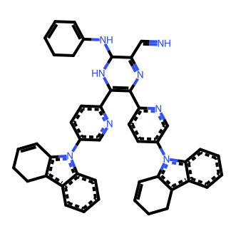 N=CC1=NC(c2ccc(-n3c4c(c5ccccc53)CCC=C4)cn2)=C(c2ccc(-n3c4c(c5ccccc53)CCC=C4)cn2)NC1NC1=CC=CCC1